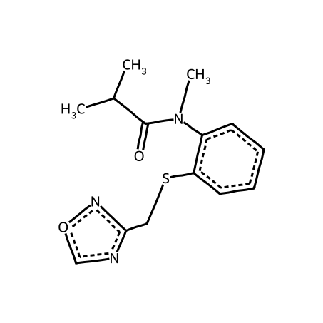 CC(C)C(=O)N(C)c1ccccc1SCc1ncon1